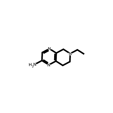 CCN1CCc2nc(N)cnc2C1